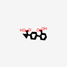 O=C(O)c1ccccc1-c1ccc(C2(C(=O)O)CC2)cc1